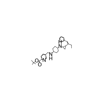 CCC(=Cc1ccccc1)C1CC1NC1CCC(NCc2ccc(C(=O)OC(C)(C)C)nc2)CC1